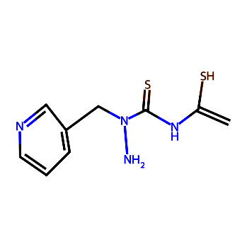 C=C(S)NC(=S)N(N)Cc1cccnc1